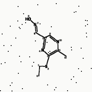 CCSc1nc(/C=N/O)cnc1C